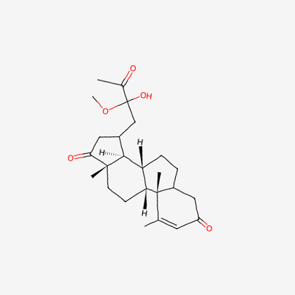 COC(O)(CC1CC(=O)[C@@]2(C)CC[C@@H]3[C@@H](CCC4CC(=O)C=C(C)[C@@]43C)[C@H]12)C(C)=O